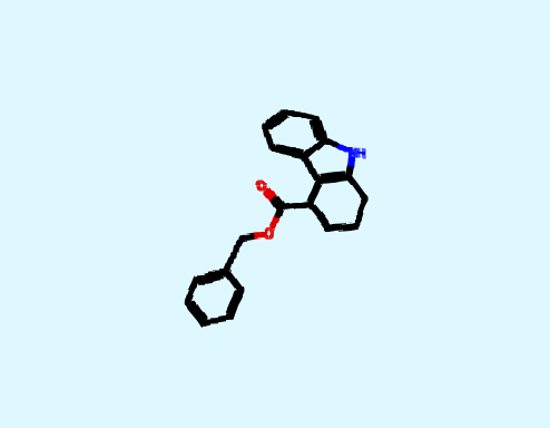 O=C(OCc1ccccc1)C1CCCc2[nH]c3ccccc3c21